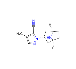 Cc1cnn([C@@H]2C[C@H]3CC[C@@H](C2)N3)c1C#N